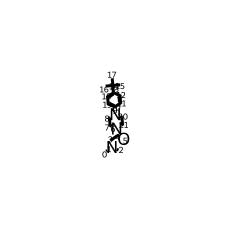 CN(C)CC(=O)N1CCN(c2ccc(C(C)(C)C)cc2)CC1